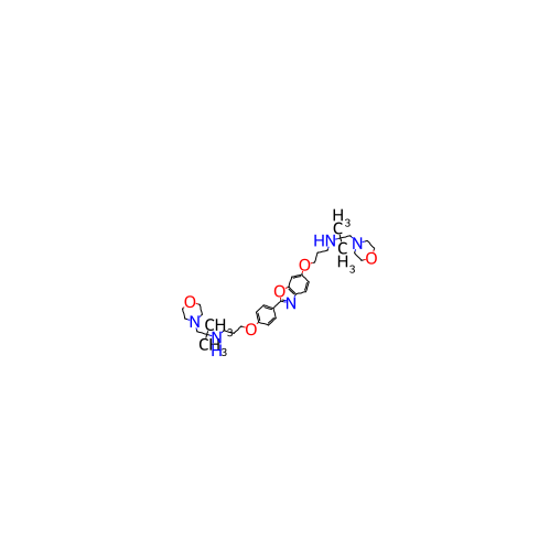 CC(C)(CN1CCOCC1)NCCCOc1ccc(-c2nc3ccc(OCCCNC(C)(C)CN4CCOCC4)cc3o2)cc1